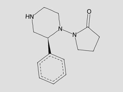 O=C1CCCN1N1CCNC[C@@H]1c1ccccc1